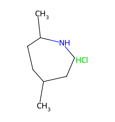 CC1CCNC(C)CC1.Cl